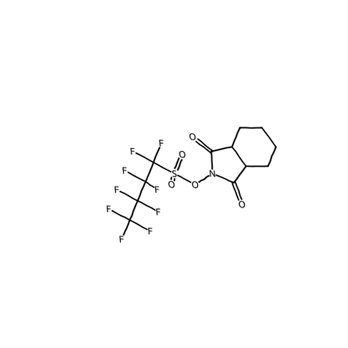 O=C1C2CCCCC2C(=O)N1OS(=O)(=O)C(F)(F)C(F)(F)C(F)(F)C(F)(F)F